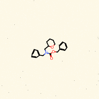 O=C(OCc1ccccc1)N(Cc1ccccc1)CC1CCCCO1